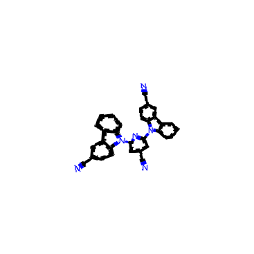 N#Cc1cc(-n2c3ccccc3c3cc(C#N)ccc32)nc(-n2c3ccccc3c3cc(C#N)ccc32)c1